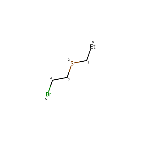 CCCSCCBr